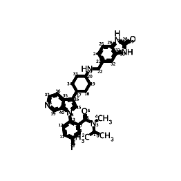 CC(C)N(C)C(=O)c1cc(F)ccc1-n1cc(C2CCC(NCc3ccc4[nH]c(=O)[nH]c4c3)CC2)c2ccncc21